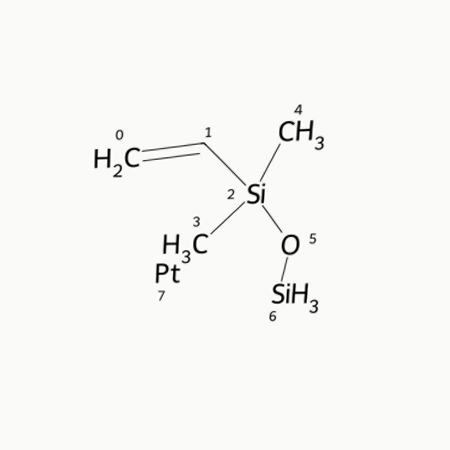 C=C[Si](C)(C)O[SiH3].[Pt]